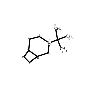 CC(C)(C)N1CCC2CCC2C1